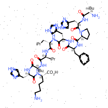 CC[C@H](C)[C@H](N)C(=O)N[C@@H](Cc1c[nH]cn1)C(=O)N1CCC[C@H]1C(=O)N[C@@H](Cc1ccccc1)C(=O)N[C@@H](Cc1c[nH]cn1)C(=O)N[C@@H](CC(C)C)C(=O)N[C@H](C(=O)N[C@H](C(=O)N[C@@H](Cc1c[nH]cn1)C(=O)N[C@@H](CCCCN)C(=O)O)[C@@H](C)CC)C(C)C